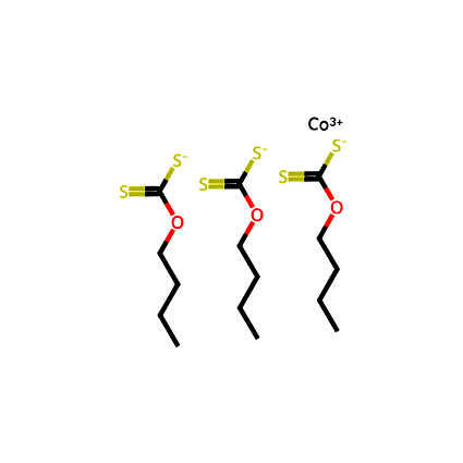 CCCCOC(=S)[S-].CCCCOC(=S)[S-].CCCCOC(=S)[S-].[Co+3]